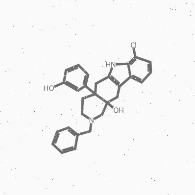 Oc1cccc(C23CCN(Cc4ccccc4)CC2(O)Cc2c([nH]c4c(Cl)cccc24)C3)c1